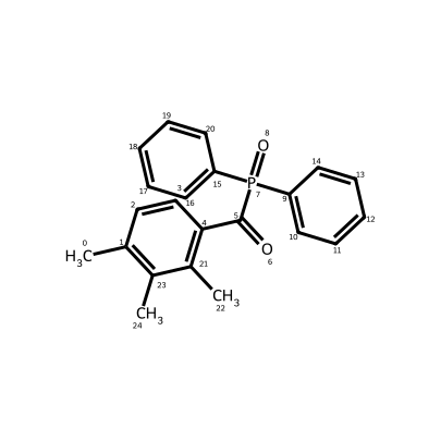 Cc1ccc(C(=O)P(=O)(c2ccccc2)c2ccccc2)c(C)c1C